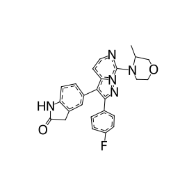 CC1COCCN1c1nccc2c(-c3ccc4c(c3)CC(=O)N4)c(-c3ccc(F)cc3)nn12